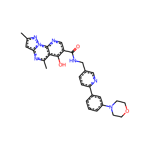 Cc1cc2nc(C)c3c(O)c(C(=O)NCc4ccc(-c5cccc(N6CCOCC6)c5)nc4)cnc3n2n1